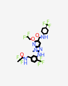 Cn1c(Nc2cc(CNC(=O)C(C)(F)F)ccc2C(F)(F)F)nc2cc(C(=O)N[C@H]3CC[C@H](C(F)(F)F)CC3)c(OCC(F)F)nc21